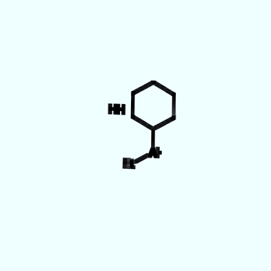 C[CH2][Al][CH]1CCCCC1.[HH]